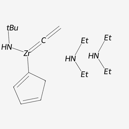 C=[C]=[Zr]([NH]C(C)(C)C)[C]1=CC=CC1.CCNCC.CCNCC